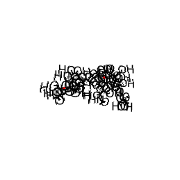 CC[C@@](OCC1O[C@@H](O[C@@H](C(C)O)C(CO)OCOC(CO)[C@H](OCCO)OC2C(O)[C@H](O[C@H](C(O)CO)C(O)CNC(C)=O)OC(CO[C@H]3OC(COCOC(CO)[C@@H](OC)C(C)O)[C@@H](O)C(O)C3O[C@H](OCCO)C(CO)NC(C)=O)[C@H]2O)C(O)C(O)[C@H]1O)(OC(CNC(C)=O)[C@H](O)[C@H](O)CO)C(=O)O